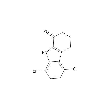 O=C1CCCc2c1[nH]c1c(Cl)ccc(Cl)c21